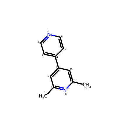 Cc1cc(-c2ccncc2)cc(C)n1